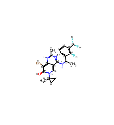 Cc1nc(NC(C)c2cccc(C(F)F)c2F)c2cn(C3(C)CC3)c(=O)c(Br)c2n1